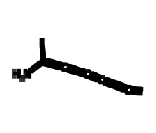 C=C=C=C=C=C(C)N